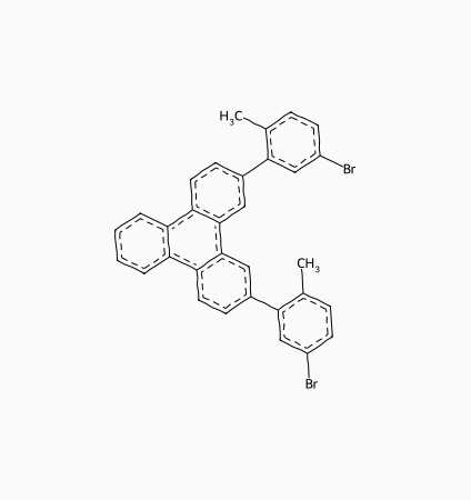 Cc1ccc(Br)cc1-c1ccc2c3ccccc3c3ccc(-c4cc(Br)ccc4C)cc3c2c1